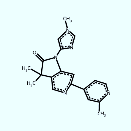 Cc1cc(-c2cc3c(cn2)C(C)(C)C(=O)N3c2cn(C)cn2)ccn1